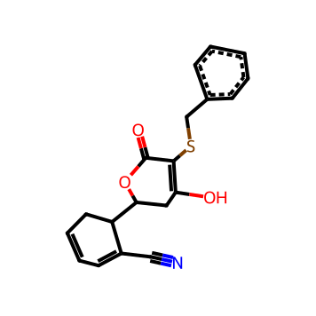 N#CC1=CC=CCC1C1CC(O)=C(SCc2ccccc2)C(=O)O1